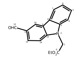 CCOC(=O)Cn1c2ccccc2c2cc(C=O)ccc21